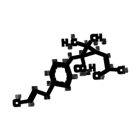 CC1(C)C(C=C(Cl)Cl)C1(Cc1ccc(CC=CCl)cc1)C(=O)O